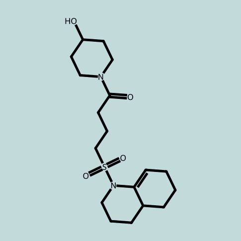 O=C(CCCS(=O)(=O)N1CCCC2CCCC=C21)N1CCC(O)CC1